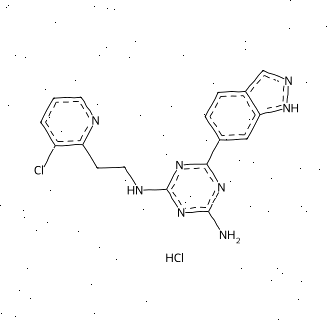 Cl.Nc1nc(NCCc2ncccc2Cl)nc(-c2ccc3cn[nH]c3c2)n1